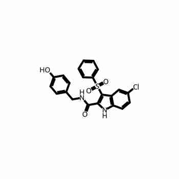 O=C(NCc1ccc(O)cc1)c1[nH]c2ccc(Cl)cc2c1S(=O)(=O)c1ccccc1